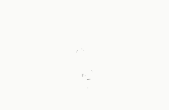 CC(C)(C)OC(=O)N[C@@H](CCCCN(CCCCCCO)C(=O)OC(C)(C)C)C(=O)OC(C)(C)C